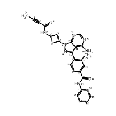 CC#CC(=O)NC1CC(n2nc(-c3ccc(C(=O)Nc4ccccn4)cc3C)c3c(N)ncnc32)C1